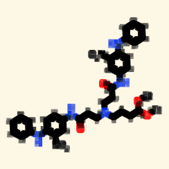 CCOC(CCCN(CCC(=O)Nc1ccc(Nc2ccccc2)c([N+](=O)[O-])c1)CCC(=O)Nc1ccc(Nc2ccccc2)c([N+](=O)[O-])c1)OCC